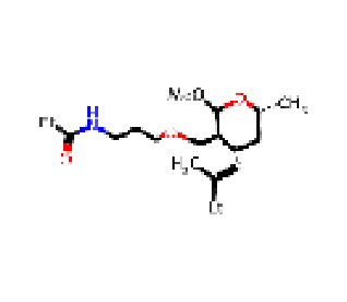 CCC(=O)NCCCOCC1C(OC)O[C@H](C)C[C@@H]1/C=C(\C)CC